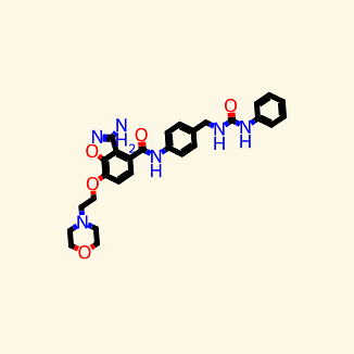 Nc1noc2c(OCCN3CCOCC3)ccc(C(=O)Nc3ccc(CNC(=O)Nc4ccccc4)cc3)c12